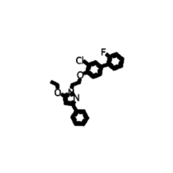 CCOc1cc(-c2ccccc2)nn1CCOc1ccc(-c2ccccc2F)cc1Cl